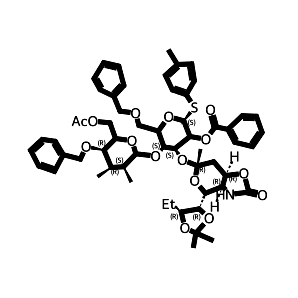 CC[C@H]1OC(C)(C)O[C@H]1C1O[C@](C)(O[C@@H]2C(OC(=O)c3ccccc3)[C@H](Sc3ccc(C)cc3)OC(COCc3ccccc3)[C@@H]2OC2OC(COC(C)=O)[C@H](OCc3ccccc3)[C@H](C)[C@@H]2C)C[C@H]2OC(=O)N[C@@H]12